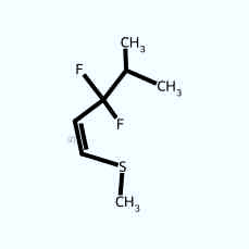 CS/C=C\C(F)(F)C(C)C